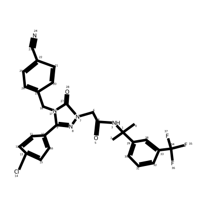 CC(C)(NC(=O)Cn1nc(-c2ccc(Cl)cc2)n(Cc2ccc(C#N)cc2)c1=O)c1cccc(C(F)(F)F)c1